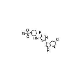 CCS(=O)(=O)N1CCCC(Nc2nc(-c3c[nH]c4ncc(Cl)cc34)ncc2F)C1